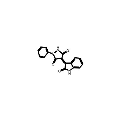 O=C1NN(c2ccccc2)C(=O)/C1=C1\C(=O)Nc2ccccc21